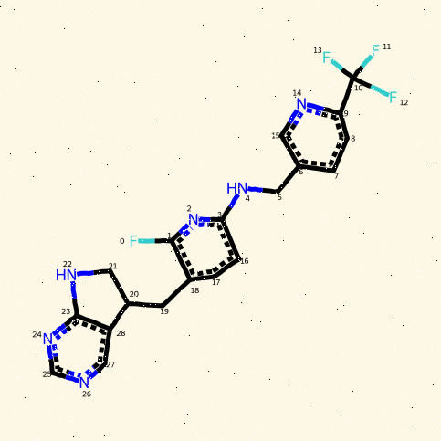 Fc1nc(NCc2ccc(C(F)(F)F)nc2)ccc1CC1CNc2ncncc21